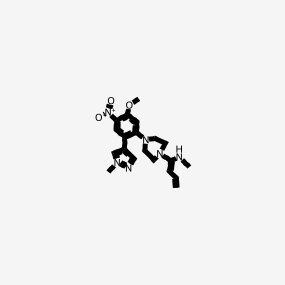 C=C/C=C(\NC)N1CCN(c2cc(OC)c([N+](=O)[O-])cc2-c2cnn(C)c2)CC1